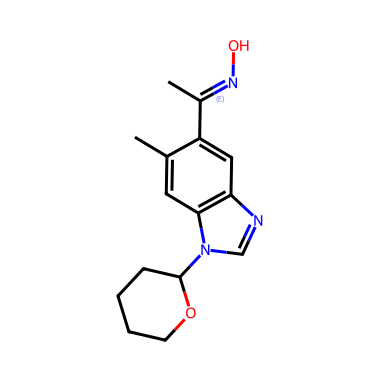 C/C(=N\O)c1cc2ncn(C3CCCCO3)c2cc1C